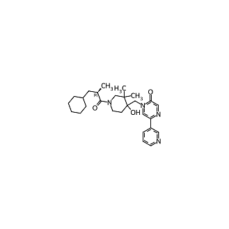 C[C@H](CC1CCCCC1)C(=O)N1CCC(O)(Cn2cc(-c3cccnc3)ncc2=O)C(C)(C)C1